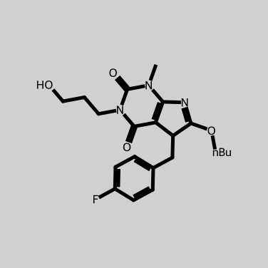 CCCCOC1=Nc2c(c(=O)n(CCCO)c(=O)n2C)C1Cc1ccc(F)cc1